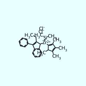 CCC1=C(c2ccccc2)c2ccccc2[CH]1[Zr+2]([C]1=C(C)C(C)=C(C)C1C)=[Si](C)C.[Cl-].[Cl-]